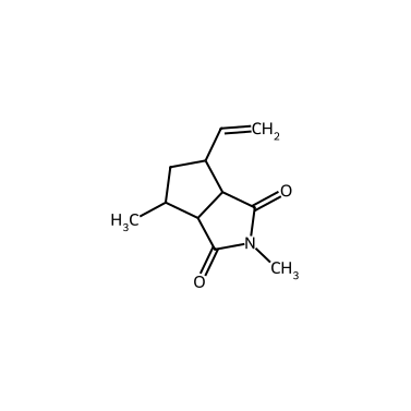 C=CC1CC(C)C2C(=O)N(C)C(=O)C12